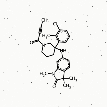 CC#CC(=O)N1CCCC(Nc2ccc3c(c2)N(C)C(=O)C3(C)C)(c2cccc(Cl)c2C)C1